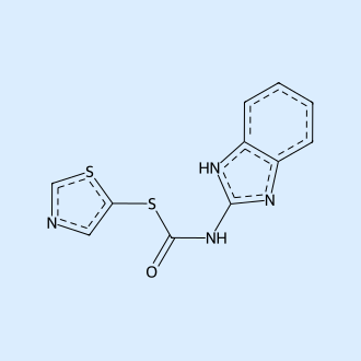 O=C(Nc1nc2ccccc2[nH]1)Sc1cncs1